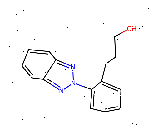 OCCCc1ccccc1-n1nc2ccccc2n1